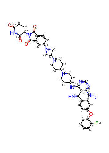 N=C(c1ccc(Oc2ccccc2F)cc1)c1c(N)ncnc1NC1CCN(C2CCN(C3CN(c4ccc5c(c4)C(=O)N(C4CCC(=O)NC4=O)C5=O)C3)CC2)CC1